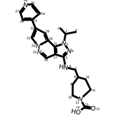 CC(C)n1nc(NCC2CCN(C(=O)O)CC2)c2cnn3cc(-c4ccncc4)cc3c21